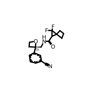 N#Cc1cccc([C@]2(CNC(=O)C3C(F)(F)C34CCC4)CCO2)c1